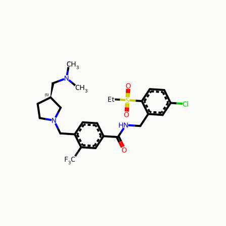 CCS(=O)(=O)c1ccc(Cl)cc1CNC(=O)c1ccc(CN2CC[C@@H](CN(C)C)C2)c(C(F)(F)F)c1